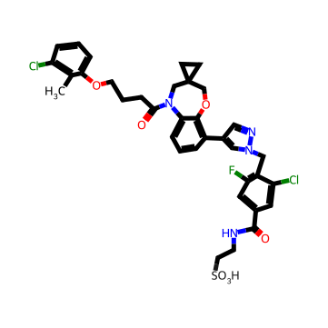 Cc1c(Cl)cccc1OCCCC(=O)N1CC2(CC2)COc2c(-c3cnn(Cc4c(F)cc(C(=O)NCCS(=O)(=O)O)cc4Cl)c3)cccc21